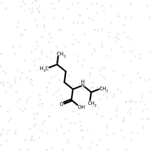 CC(C)CCC(NC(C)C)C(=O)O